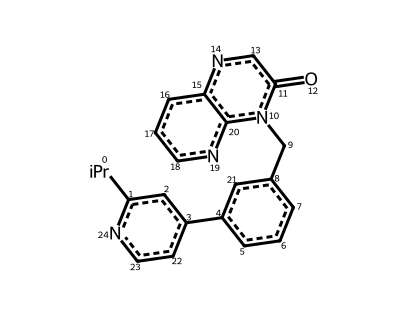 CC(C)c1cc(-c2cccc(Cn3c(=O)cnc4cccnc43)c2)ccn1